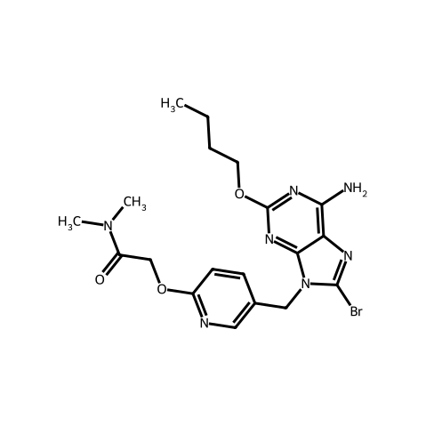 CCCCOc1nc(N)c2nc(Br)n(Cc3ccc(OCC(=O)N(C)C)nc3)c2n1